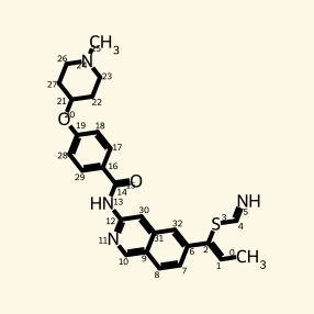 C/C=C(\SC=N)c1ccc2cnc(NC(=O)c3ccc(OC4CCN(C)CC4)cc3)cc2c1